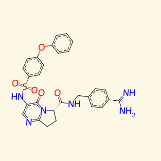 N=C(N)c1ccc(CNC(=O)[C@@H]2CCc3ncc(NS(=O)(=O)c4ccc(Oc5ccccc5)cc4)c(=O)n32)cc1